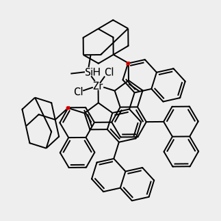 C[SiH](C)[Zr]([Cl])([Cl])([CH]1C(CC23CC4CC(CC(C4)C2)C3)=Cc2c(-c3cccc4ccccc34)ccc(-c3cccc4ccccc34)c21)[CH]1C(CC23CC4CC(CC(C4)C2)C3)=Cc2c(-c3cccc4ccccc34)ccc(-c3cccc4ccccc34)c21